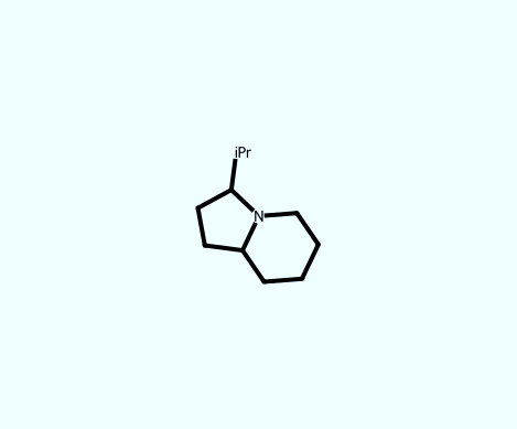 CC(C)C1CCC2CCCCN21